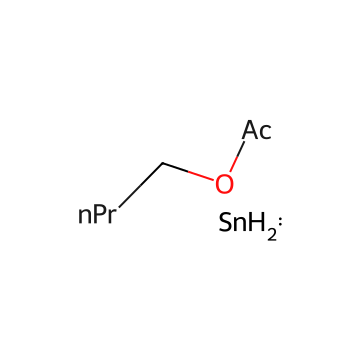 CCCCOC(C)=O.[SnH2]